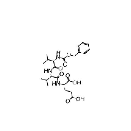 CC(C)[C@H](NC(=O)OCc1ccccc1)C(=O)N[C@H](C(=O)N[C@@H](CCC(=O)O)C(=O)O)C(C)C